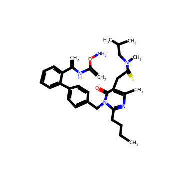 C=C(NC(=C)c1ccccc1-c1ccc(Cn2c(CCCC)nc(C)c(CC(=S)N(C)CC(C)C)c2=O)cc1)ON